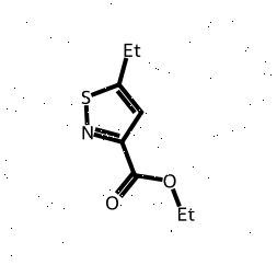 CCOC(=O)c1cc(CC)sn1